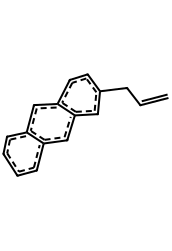 C=CCc1ccc2cc3ccccc3cc2c1